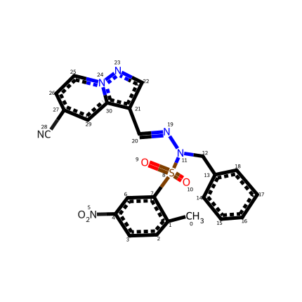 Cc1ccc([N+](=O)[O-])cc1S(=O)(=O)N(Cc1ccccc1)N=Cc1cnn2ccc(C#N)cc12